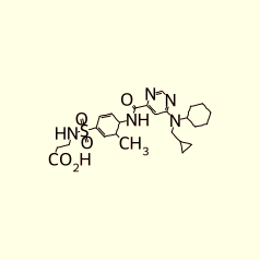 CC1C=C(S(=O)(=O)NCCC(=O)O)C=CC1NC(=O)c1cc(N(CC2CC2)C2CCCCC2)ncn1